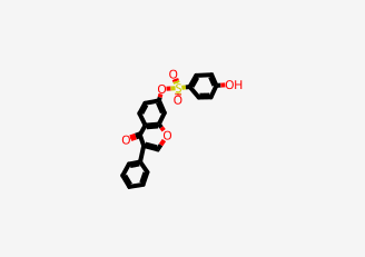 O=c1c(-c2ccccc2)coc2cc(OS(=O)(=O)c3ccc(O)cc3)ccc12